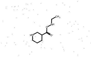 CCNOC(=O)C1CCCNC1